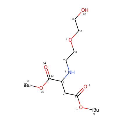 CCC(C)OC(=O)CC(NCCOCCO)C(=O)OC(C)CC